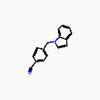 N#Cc1ccc(Cn2ccc3ccccc32)cc1